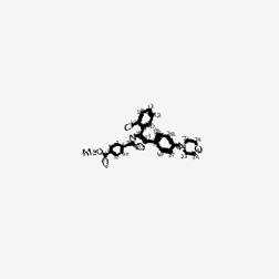 COC(=O)c1ccc(-c2nc(-c3ccccc3Cl)c(-c3ccc(N4CCOCC4)cc3)o2)cc1